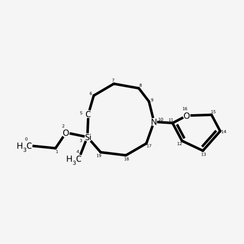 CCO[Si]1(C)CCCCCN(C2=CC=CCO2)CCC1